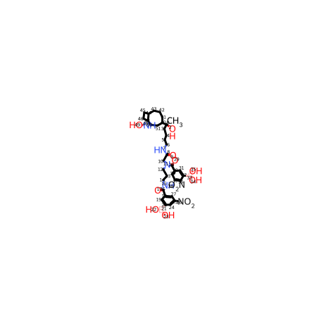 CC(O)(CCCCNC(=O)CN(CCCNC(=O)c1cc(B(O)O)cc([N+](=O)[O-])c1)C(=O)c1cc(B(O)O)cc([N+](=O)[O-])c1)C1CCCC2CCC2(NO)CC1